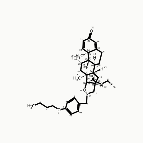 CCCCOc1ccc(CN2C[C@@H]3C[C@H]4[C@@H]5CCC6=CC(=O)C=C[C@]6(C)[C@@]5(F)[C@@H](O)C[C@]4(C)[C@]3(C(=O)SCF)O2)cc1